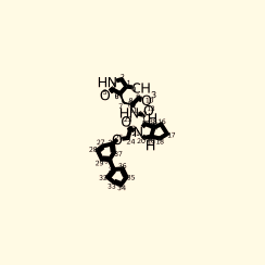 CC1CNC(=O)[C@@H]1C[C@@H](C=O)NC(=O)[C@@H]1[C@H]2CCC[C@H]2CN1C(=O)COc1cccc(-c2ccccc2)c1